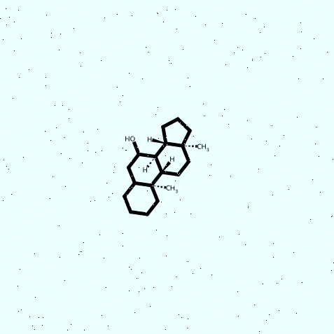 C[C@@]12CCC[C@H]1[C@@H]1C(O)CC3CCCC[C@]3(C)[C@H]1CC2